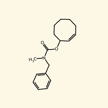 CN(Cc1ccccc1)C(=O)OC1C=CCCCCC1